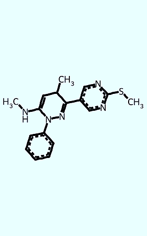 CNC1=CC(C)C(c2cnc(SC)nc2)=NN1c1ccccc1